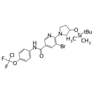 CC(C)(C)[Si](C)(C)OC1CCN(c2ncc(C(=O)Nc3ccc(OC(F)(F)Cl)cc3)cc2Br)C1